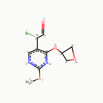 CSc1ncc([C@H](Br)C=O)c(OC2COC2)n1